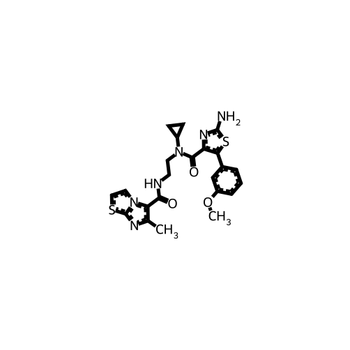 COc1cccc(-c2sc(N)nc2C(=O)N(CCNC(=O)c2c(C)nc3sccn23)C2CC2)c1